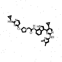 Cc1cc(Nc2ncc(C3CC3)c(-c3c[nH]c4c(NC(=O)CN5CC[C@H](Oc6ccnc(NC7CC7)n6)C5)cccc34)n2)nn1C